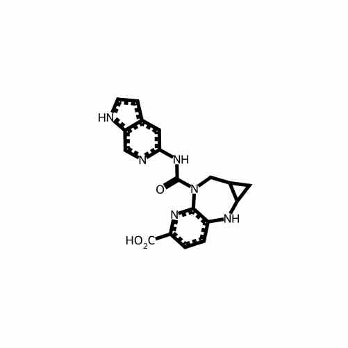 O=C(O)c1ccc2c(n1)N(C(=O)Nc1cc3cc[nH]c3cn1)CC1CC1N2